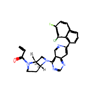 C=CC(=O)N1CC[C@@H]2[C@H]1CN2c1ncnc2cc(-c3cccc4ccc(F)c(Cl)c34)ncc12